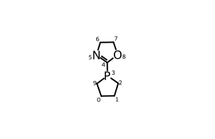 C1CCP(C2=NCCO2)C1